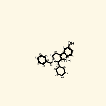 Oc1ccc2[nH]c3c(c2c1)CCN(Cc1ccccc1)C3C1CCCCC1